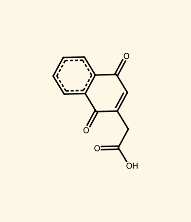 O=C(O)CC1=CC(=O)c2ccccc2C1=O